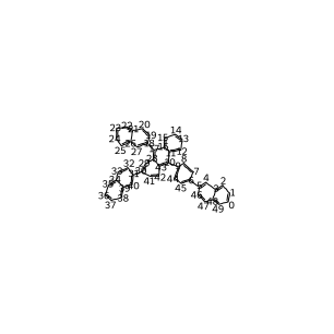 c1ccc2cc(-c3ccc(-c4c5ccccc5c(-c5ccc6ccccc6c5)c5cc(-c6ccc7ccccc7c6)ccc45)cc3)ccc2c1